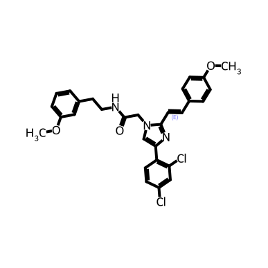 COc1ccc(/C=C/c2nc(-c3ccc(Cl)cc3Cl)cn2CC(=O)NCCc2cccc(OC)c2)cc1